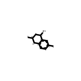 Cc1ccc2c(c1)C(F)CC(C)C2